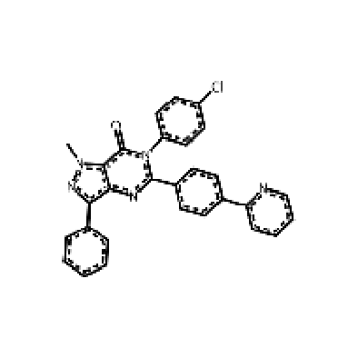 Cn1nc(-c2ccccc2)c2nc(-c3ccc(-c4ccccn4)cc3)n(-c3ccc(Cl)cc3)c(=O)c21